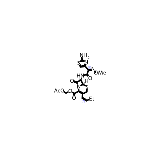 CC/C=C\C1=C(C(=O)OCOC(C)=O)N2C(=O)[C@@H](NC(=O)/C(=N\OC)c3csc(N)n3)[C@H]2SC1